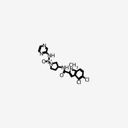 Cn1c(C(=O)NC2CCN([S+]([O-])Nc3cnccn3)C2)cc2c(Cl)c(Cl)ccc21